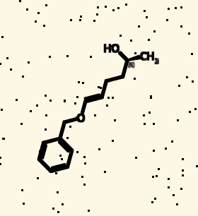 C[C@H](O)CCC=COCc1ccccc1